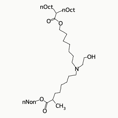 CCCCCCCCCOC(=O)C(C)CCCCCCN(CCO)CCCCCCCOC(=O)C(CCCCCCCC)CCCCCCCC